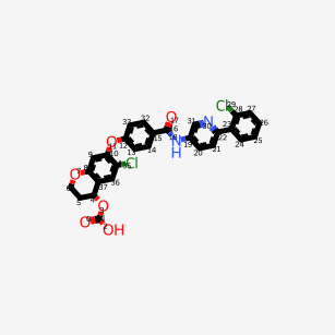 O=C(O)OC1CCOc2cc(Oc3ccc(C(=O)Nc4ccc(-c5ccccc5Cl)nc4)cc3)c(Cl)cc21